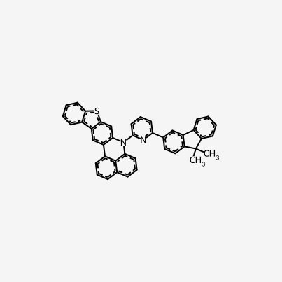 CC1(C)c2ccccc2-c2cc(-c3cccc(N4c5cc6sc7ccccc7c6cc5-c5cccc6cccc4c56)n3)ccc21